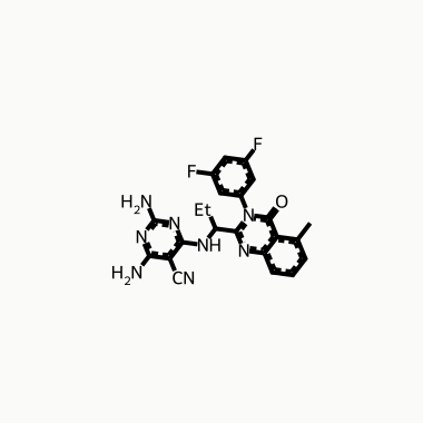 CCC(Nc1nc(N)nc(N)c1C#N)c1nc2cccc(C)c2c(=O)n1-c1cc(F)cc(F)c1